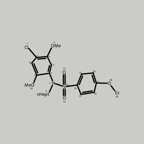 CCCCCCCN(c1cc(OC)c(Cl)cc1OC)S(=O)(=O)c1ccc(OCC)cc1